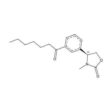 CCCCCCC(=O)c1cccc([C@H]2COC(=O)N2C)c1